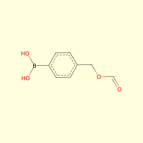 O=[C]OCc1ccc(B(O)O)cc1